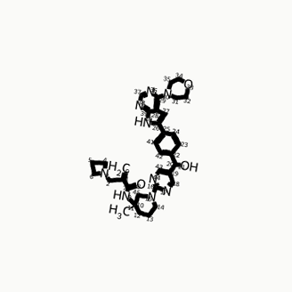 C=C(CN1CCC1)C(=O)N[C@]1(C)CCCN(c2ncc(C(O)c3ccc(-c4cc5c(N6CCOCC6)ncnc5[nH]4)cc3)cn2)C1